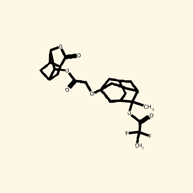 CC(F)(F)C(=O)OC1(C)C2CC3CC1CC(OCC(=O)OC1C4CC5C(=O)OC1C5C4)(C3)C2